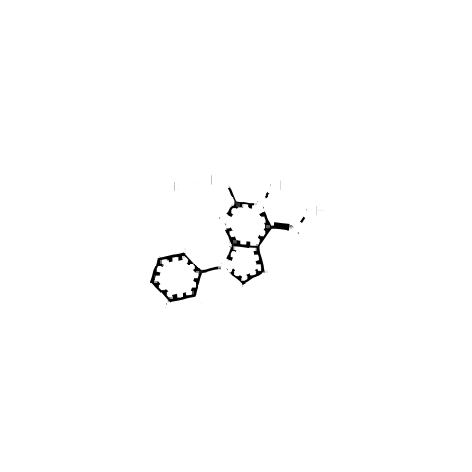 CN=c1c2ccn(-c3ccccc3)c2nc(C)n1C.Cl